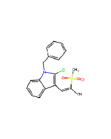 CS(=O)(=O)C(C#N)=Cc1c(Cl)n(Cc2ccccc2)c2ccccc12